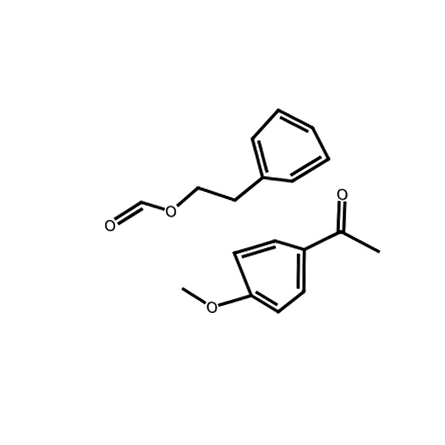 COc1ccc(C(C)=O)cc1.O=COCCc1ccccc1